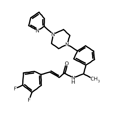 CC(NC(=O)C=Cc1ccc(F)c(F)c1)c1cccc(N2CCN(c3ccccn3)CC2)c1